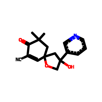 CC1(C)CC2(C=C(C#N)C1=O)CC(O)(c1cccnc1)CO2